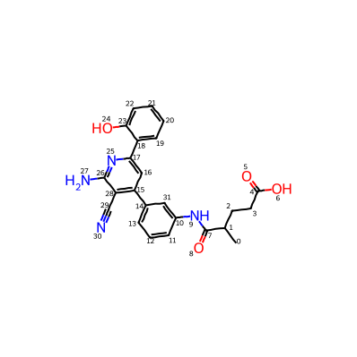 CC(CCC(=O)O)C(=O)Nc1cccc(-c2cc(-c3ccccc3O)nc(N)c2C#N)c1